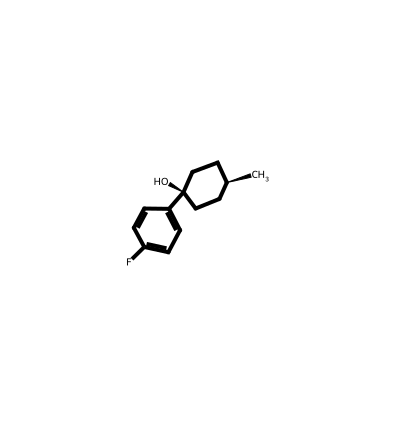 C[C@H]1CC[C@](O)(c2ccc(F)cc2)CC1